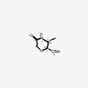 CO[C@H]1OCC(=O)N[C@H]1C